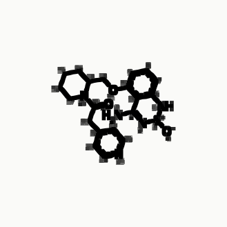 NC1=N[S+]([O-])Nc2cccc(OCC3CCCCN3C(=O)Cc3ccncc3)c21